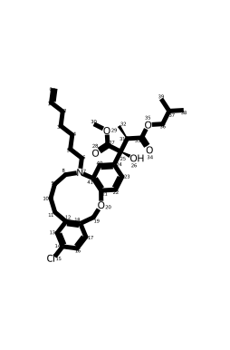 C=CCCCCCN1CCCCc2cc(Cl)ccc2COc2ccc([C@](O)(C(=O)OC)[C@@H](C)C(=O)OCC(C)C)cc21